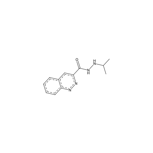 CC(C)NNC(=O)c1cc2ccccc2nn1